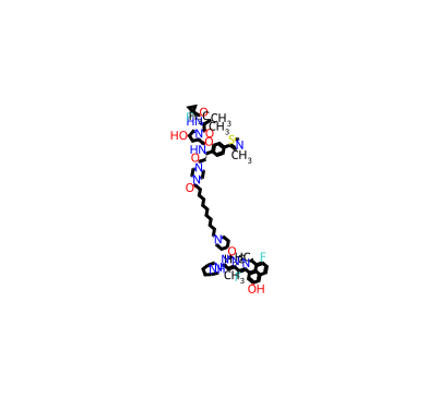 C#Cc1c(F)ccc2cc(O)cc(/C(N=C)=C(\F)c3nc(OC4CCN(CCCCCCCCCCC(=O)N5CCN(C(=O)C[C@H](NC(=O)C6C[C@@H](O)CN6C(=O)C(NC(=O)C6(F)CC6)C(C)(C)C)c6ccc(-c7scnc7C)cc6)CC5)CC4)nc(N4CC5CCC(C4)N5)c3C)c12